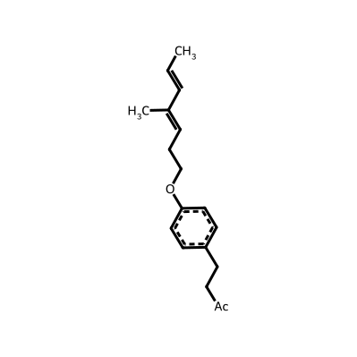 C/C=C/C(C)=C/CCOc1ccc(CCC(C)=O)cc1